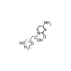 CO[C@H](CO)C[C@@H](O)n1ccc(N)nc1=O